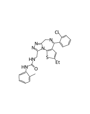 CCc1cc2c(s1)-n1c(nnc1CNC(=O)Nc1ccccc1C)CN=C2c1ccccc1Cl